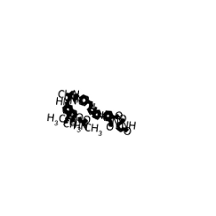 CNC(=O)COc1cc2cc(Nc3nc(N4CCC(CN5CCC6(CCN(c7ccc8c(c7)C(=O)N(C7CCC(=O)NC7=O)C8=O)C6)C5)CC4)ncc3Cl)ccc2n(C(C)C)c1=O